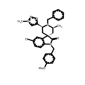 COc1ccc(CN2C(=O)[C@@]3(C[C@H](C)N(Cc4ccccc4)[C@H](c4cn(C)nn4)C3)c3cc(Cl)ccc32)cc1